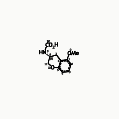 COc1cccc2c1C[C@@H](NC(=O)O)CO2